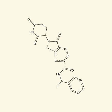 CC(NC(=O)c1ccc2c(c1)CN(C1CCC(=O)NC1=O)C2=O)c1cccnc1